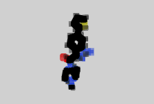 CN1CC2CC1CN2C(=O)c1n[nH]c2cc(-c3cccs3)ccc12